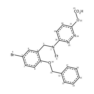 CCN(Cc1cc(Br)ccc1OCc1ccccc1)c1ccc(OC(=O)O)nn1